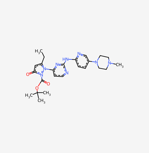 CCc1cc(=O)n(C(=O)OC(C)(C)C)n1-c1ccnc(Nc2ccc(N3CCN(C)CC3)cn2)n1